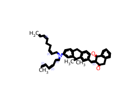 C=C/C=C\CC/C=C\CN(/C=C/C=C\C=C/C)c1ccc2c(c1)C(C)(C)c1cc(/C=C3/C(=O)Cc4ccccc4C3=O)ccc1C2